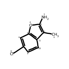 Cc1c(N)oc2cc(Cl)ccc12